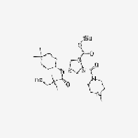 CN1CCN(C(=O)[C@@H]2C[C@H](N(C(=O)C(C)(C)CO)C3CCC(C)(C)CC3)CN2C(=O)OC(C)(C)C)CC1